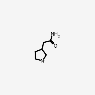 NC(=O)CC1CC[N]C1